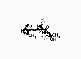 CCCCc1noc(C)c1CCc1nc(C)c(C(=O)NCC(C)(C)O)s1